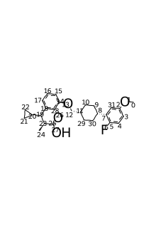 COc1ccc(F)c([C@H]2CC[C@@H](COc3cccc(C(C4CC4)[C@H](C)C(=O)O)c3)CC2)c1